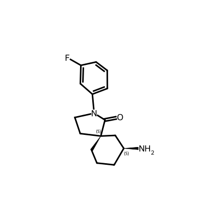 N[C@H]1CCC[C@]2(CCN(c3cccc(F)c3)C2=O)C1